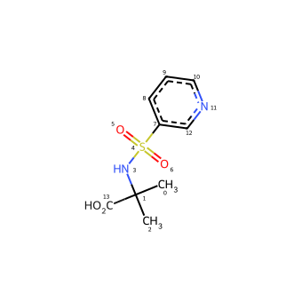 CC(C)(NS(=O)(=O)c1cccnc1)C(=O)O